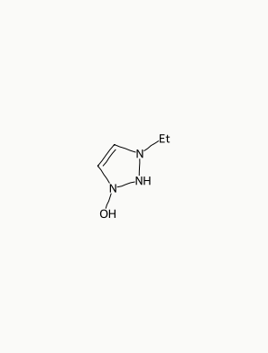 CCN1C=CN(O)N1